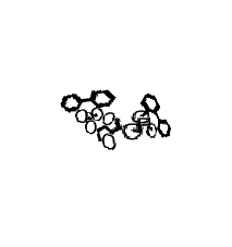 c1ccc2c(c1)op(O[C@@H]1COC3C1OC[C@H]3Op1oc3ccccc3c3ccccc3o1)oc1ccccc12